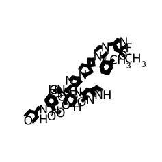 COc1cc(CN2CCN(C3CC4(CCN(c5cnc(C(=O)NS(=O)(=O)c6ccc(NCC7CCOCC7)c([N+](=O)[O-])c6)c(N6c7cc8cc[nH]c8nc7O[C@H]7COCC[C@@H]76)c5)CC4)C3)[C@H](c3ccccc3C)C2)cnc1F